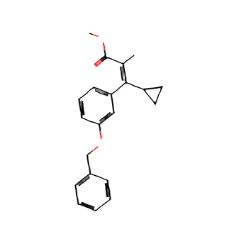 COC(=O)/C(C)=C(\c1cccc(OCc2ccccc2)c1)C1CC1